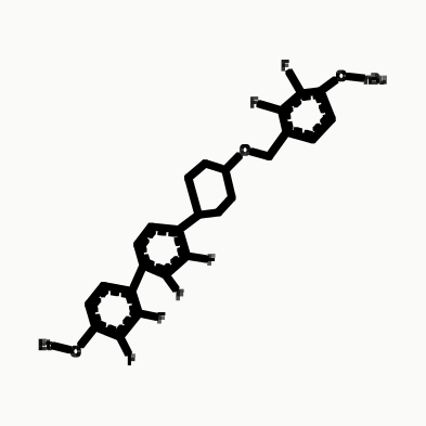 CCCCOc1ccc(COC2CCC(c3ccc(-c4ccc(OCC)c(F)c4F)c(F)c3F)CC2)c(F)c1F